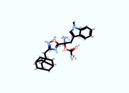 Cn1cc(C[C@](N)(OC(=O)C(F)(F)F)c2nc(CC34CC5CC(CC(C5)C3)C4)no2)c2ccccc21